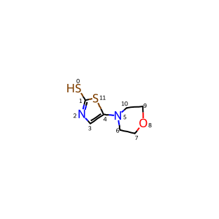 Sc1ncc(N2CCOCC2)s1